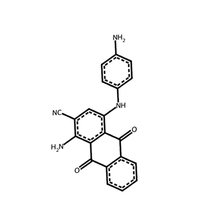 N#Cc1cc(Nc2ccc(N)cc2)c2c(c1N)C(=O)c1ccccc1C2=O